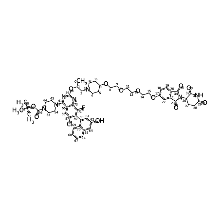 CC(CN1CCC(OCCOCCOCCOc2ccc3c(c2)C(=O)N(C2CCC(=O)NC2=O)C3=O)CC1)Oc1nc(N2CCN(C(=O)OC(C)(C)C)CC2)c2cc(Cl)c(-c3cc(O)cc4ccccc34)c(F)c2n1